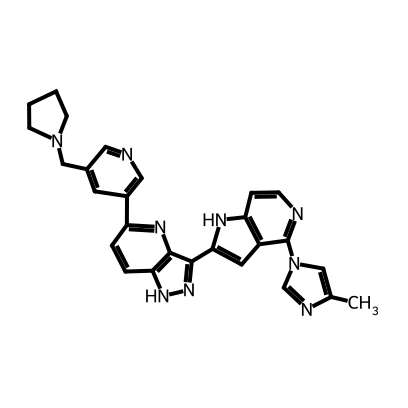 Cc1cn(-c2nccc3[nH]c(-c4n[nH]c5ccc(-c6cncc(CN7CCCC7)c6)nc45)cc23)cn1